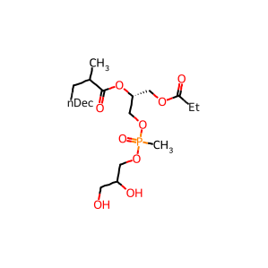 CCCCCCCCCCCC(C)C(=O)O[C@H](COC(=O)CC)COP(C)(=O)OCC(O)CO